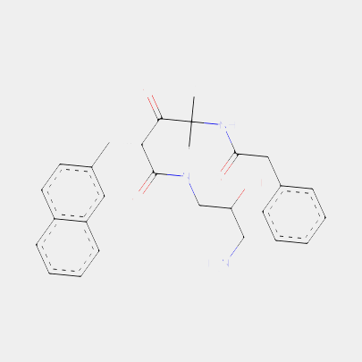 CC(C)(NC(=O)Cc1ccccc1)C(=O)[C@@H](Cc1ccc2ccccc2c1)C(=O)NCC(O)CN